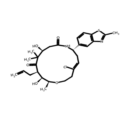 C=CC[C@H]1C(=O)C(C)(C)[C@@H](O)CC(=O)N[C@H](c2ccc3sc(C)nc3c2)C/C=C(\Cl)CCO[C@@H](C)[C@H]1O